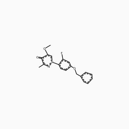 COc1cn(-c2ccc(OCc3ccccc3)cc2F)nc(C)c1=O